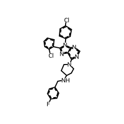 Fc1ccc(CNC2CCN(c3ncnc4c3nc(-c3ccccc3Cl)n4-c3ccc(Cl)cc3)CC2)cc1